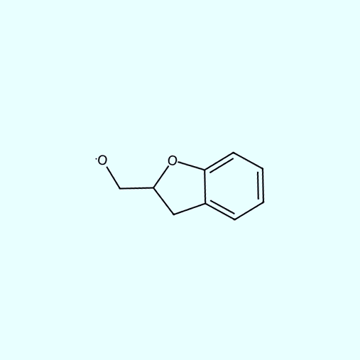 [O]CC1Cc2ccccc2O1